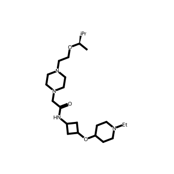 CCN1CCC(OC2CC(NC(=O)CN3CCN(CCO[C@H](C)C(C)C)CC3)C2)CC1